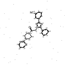 N#Cc1cccc(-c2nc(-c3ccccc3)n(CC(=O)N3CCN(c4ncccn4)CC3)n2)c1